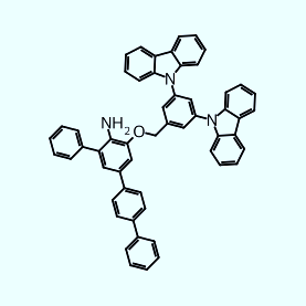 Nc1c(OCc2cc(-n3c4ccccc4c4ccccc43)cc(-n3c4ccccc4c4ccccc43)c2)cc(-c2ccc(-c3ccccc3)cc2)cc1-c1ccccc1